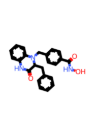 O=C(NO)c1ccc(CN2c3ccccc3NC(=O)C2Cc2ccccc2)cc1